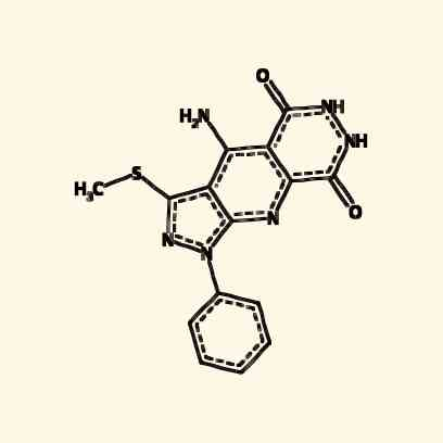 CSc1nn(-c2ccccc2)c2nc3c(=O)[nH][nH]c(=O)c3c(N)c12